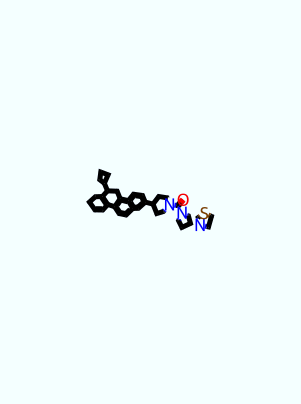 C1=NCCS1.O=C(N1CCCC1)N1CCC(c2ccc3c4c(ccc3c2)C2=C(CCC=C2)C(C2CCC2)C4)CC1